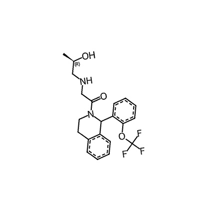 C[C@@H](O)CNCC(=O)N1CCc2ccccc2C1c1ccccc1OC(F)(F)F